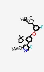 COc1cc(-c2ccc(COc3cc(F)cc([C@H](CC(=O)O)CC4CC4)c3)cc2[C@@H]2CCCC2(C)C)c(F)cn1